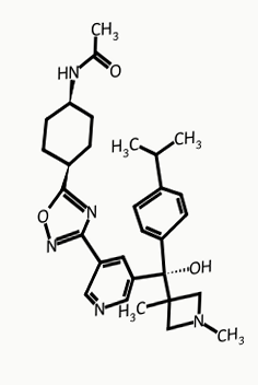 CC(=O)N[C@H]1CC[C@@H](c2nc(-c3cncc([C@@](O)(c4ccc(C(C)C)cc4)C4(C)CN(C)C4)c3)no2)CC1